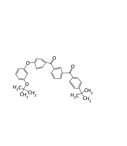 CC(C)(C)Oc1cccc(Oc2ccc(C(=O)c3cccc(C(=O)c4ccc(C(C)(C)C)cc4)c3)cc2)c1